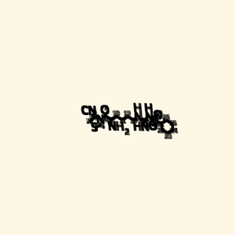 N#C[C@@H]1CSCN1C(=O)[C@@H](N)CCCCNC(=N)NS(=O)(=O)C1CCCCC1